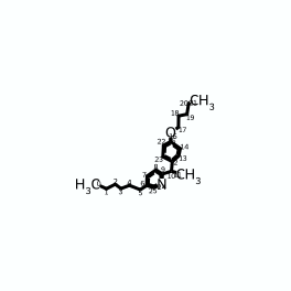 CCCCCCc1ccc(C(C)c2ccc(OCCCCC)cc2)nc1